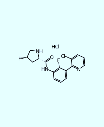 Cl.O=C(Nc1cccc(-c2ncccc2Cl)c1F)[C@@H]1C[C@@H](F)CN1